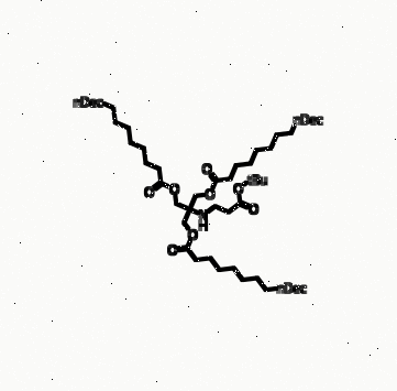 CCCCCCCCCCCCCCCCCC(=O)OCC(COC(=O)CCCCCCCCCCCCCCCCC)(COC(=O)CCCCCCCCCCCCCCCCC)NCCC(=O)OC(C)(C)C